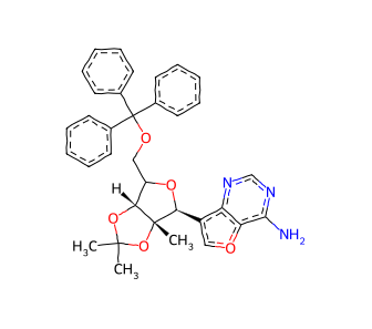 CC1(C)O[C@@H]2C(COC(c3ccccc3)(c3ccccc3)c3ccccc3)O[C@@H](c3coc4c(N)ncnc34)[C@]2(C)O1